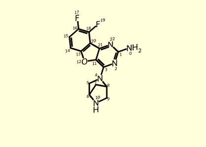 Nc1nc(N2CC3CC2CN3)c2oc3ccc(F)c(F)c3c2n1